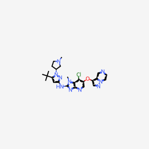 CN1CC[C@H](n2nc(Nc3nc4ncc(Oc5cnn6ccncc56)c(Cl)c4n3C)cc2C(C)(C)C)C1